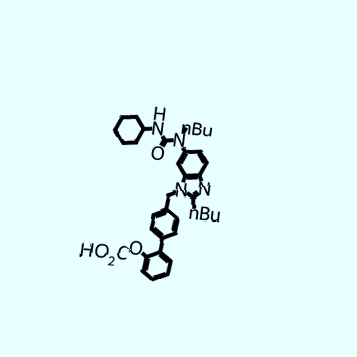 CCCCc1nc2ccc(N(CCCC)C(=O)NC3CCCCC3)cc2n1Cc1ccc(-c2ccccc2OC(=O)O)cc1